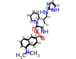 CN(C)c1cccc2cc(S(=O)(=O)N[C@@H](CCCNc3ncc[nH]3)C(=O)N3CCCCC3)ccc12